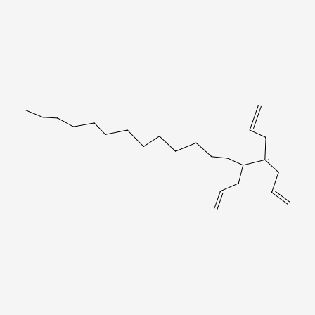 C=CC[C](CC=C)C(CC=C)CCCCCCCCCCCCC